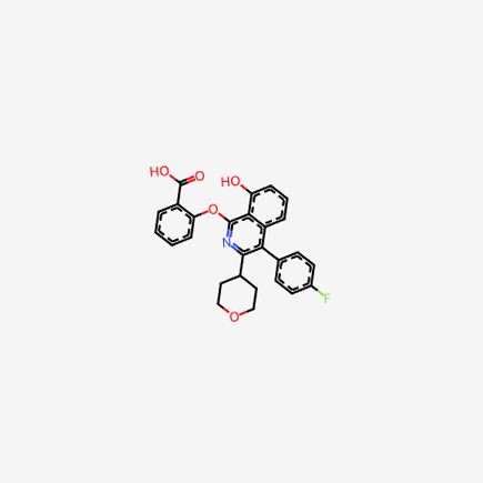 O=C(O)c1ccccc1Oc1nc(C2CCOCC2)c(-c2ccc(F)cc2)c2cccc(O)c12